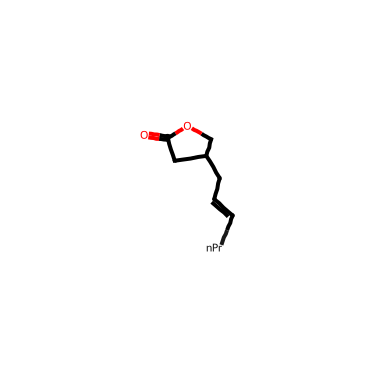 CCCC=CCC1COC(=O)C1